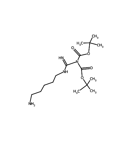 CC(C)(C)OC(=O)N(C(=N)NCCCCCN)C(=O)OC(C)(C)C